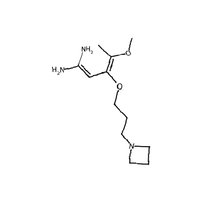 CO/C(C)=C(/C=C(N)N)OCCCN1CCC1